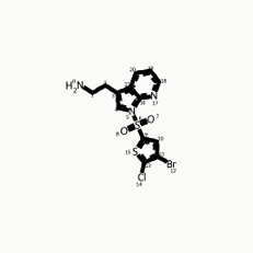 NCCc1cn(S(=O)(=O)c2cc(Br)c(Cl)s2)c2ncccc12